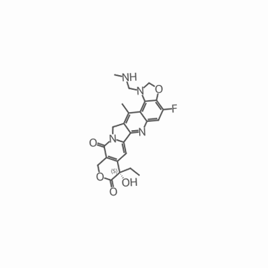 CC[C@@]1(O)C(=O)OCc2c1cc1n(c2=O)Cc2c-1nc1cc(F)c3c(c1c2C)N(CNC)CO3